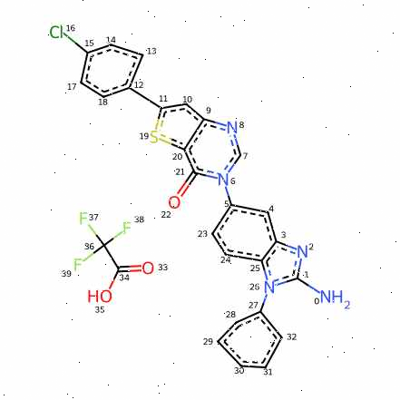 Nc1nc2cc(-n3cnc4cc(-c5ccc(Cl)cc5)sc4c3=O)ccc2n1-c1ccccc1.O=C(O)C(F)(F)F